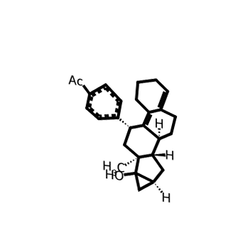 CC(=O)c1ccc([C@H]2C[C@@]3(C)[C@@H](C[C@H]4CC43O)[C@@H]3CCC4=CCCCC4=C32)cc1